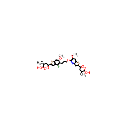 COc1cc2sc(C(=O)CC(C)C(=O)O)cc2nc1OCCCc1c(OC)cc2sc(C(=O)CC(C)C(=O)O)cc2c1F